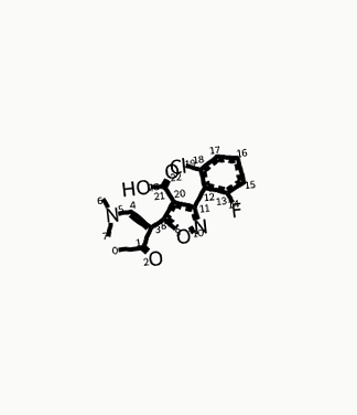 CC(=O)C(=CN(C)C)c1onc(-c2c(F)cccc2Cl)c1C(=O)O